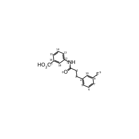 O=C(CCc1cccc(F)c1)Nc1cccc(C(=O)O)c1